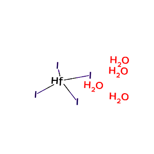 O.O.O.O.[I][Hf]([I])([I])[I]